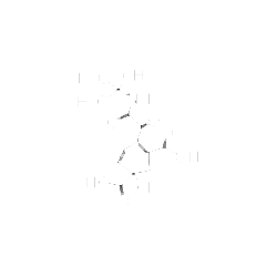 CC(C)(C)NC(=O)C(=O)C1=C(C(=O)O)CC(C)(C(=O)O)C=C1